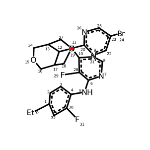 CCc1ccc(Nc2ncnc(OC3C4COCC3CN(c3ncc(Br)cn3)C4)c2F)c(F)c1